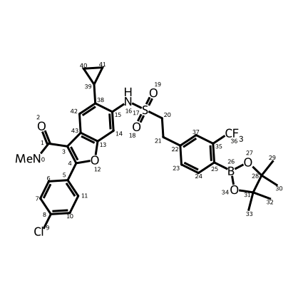 CNC(=O)c1c(-c2ccc(Cl)cc2)oc2cc(NS(=O)(=O)CCc3ccc(B4OC(C)(C)C(C)(C)O4)c(C(F)(F)F)c3)c(C3CC3)cc12